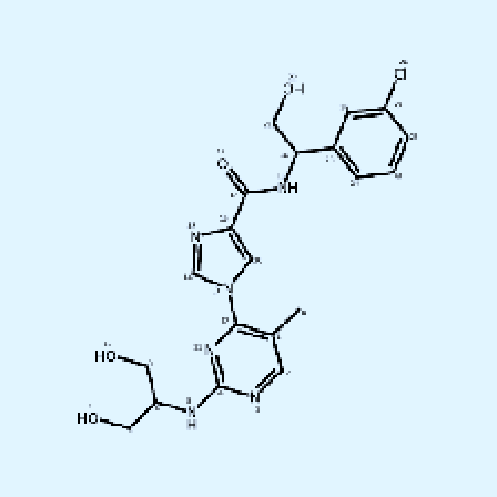 Cc1cnc(NC(CO)CO)nc1-n1cnc(C(=O)NC(CO)c2cccc(Cl)c2)c1